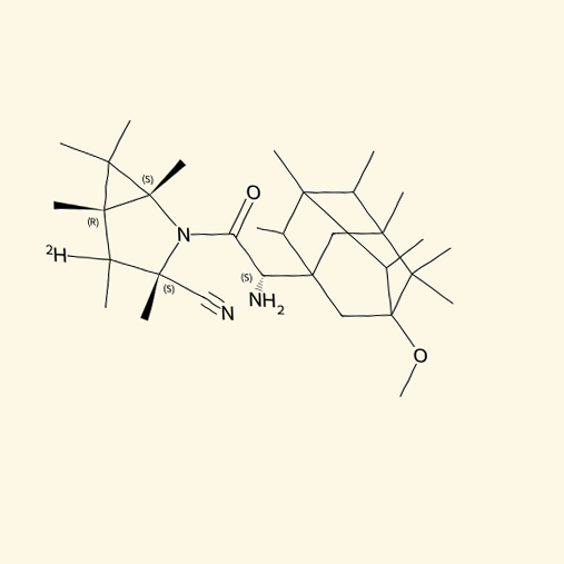 [2H]C1(C)[C@]2(C)C(C)(C)[C@]2(C)N(C(=O)[C@@H](N)C23CC4(C)C(C)C(C)(C2C)C(C)C(OC)(C3)C4(C)C)[C@]1(C)C#N